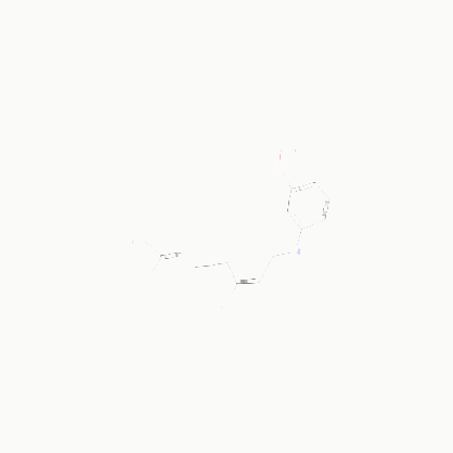 COc1cccc(NCC=C(C)CCC=C(C)C)c1